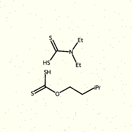 CC(C)CCOC(=S)S.CCN(CC)C(=S)S